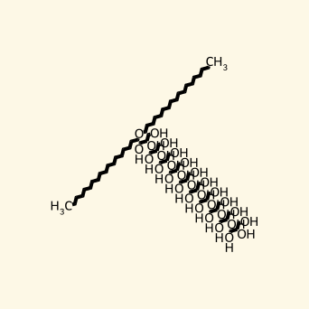 CCCCCCCCCCCCCCCCCCOCCCCCCCCCCCCCCCCCC.OCC(O)CO.OCC(O)CO.OCC(O)CO.OCC(O)CO.OCC(O)CO.OCC(O)CO.OCC(O)CO.OCC(O)CO.OCC(O)CO.OCC(O)CO